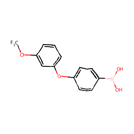 OB(O)c1ccc(Oc2cccc(OC(F)(F)F)c2)cc1